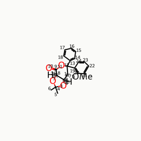 CO[C@@H]1[C@H]2OC(C)(C)O[C@H]2C(=O)OC1(c1ccccc1)c1ccccc1